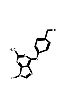 Cc1nc(Sc2ccc(CO)cc2)c2ncn(C(C)C)c2n1